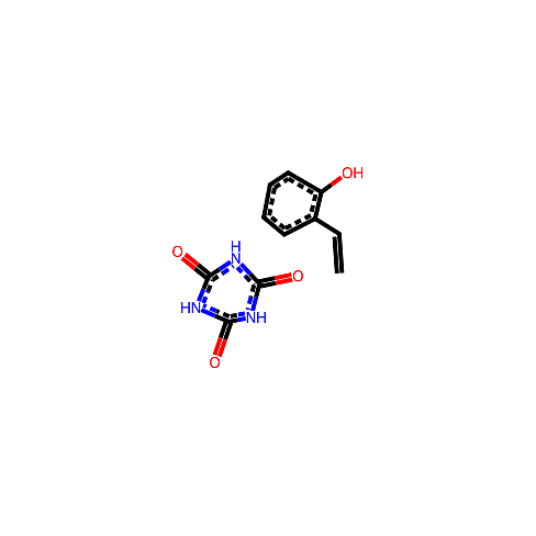 C=Cc1ccccc1O.O=c1[nH]c(=O)[nH]c(=O)[nH]1